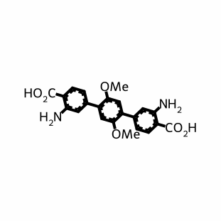 COc1cc(-c2ccc(C(=O)O)c(N)c2)c(OC)cc1-c1ccc(C(=O)O)c(N)c1